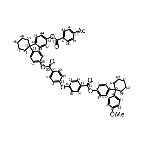 COc1ccc(C2(c3ccc(OC(=O)c4ccc(Oc5ccc(C(=O)Oc6ccc(C7(c8ccc(OC(=O)c9ccc(C(C)=O)cc9)cc8)CCCCC7)cc6)cc5)cc4)cc3)CCCCC2)cc1